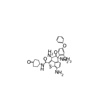 Cc1cc(Oc2ccccc2)ccc1C1(N)C(=O)C(N)c2c(C(=O)NC3CCC(=O)CC3)sc3c(N)ccc1c23